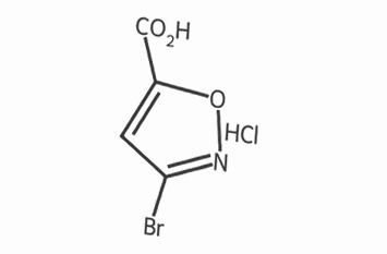 Cl.O=C(O)c1cc(Br)no1